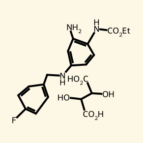 CCOC(=O)Nc1ccc(NCc2ccc(F)cc2)cc1N.O=C(O)C(O)C(O)C(=O)O